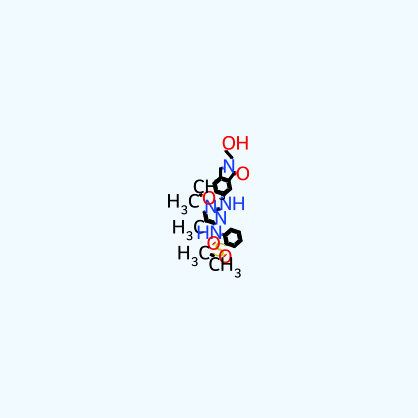 Cc1cnc(Nc2cc3c(cc2OC(C)C)CN(CCO)C3=O)nc1Nc1ccccc1S(=O)(=O)C(C)C